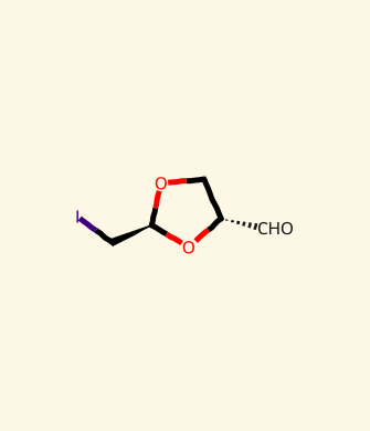 O=C[C@H]1CO[C@H](CI)O1